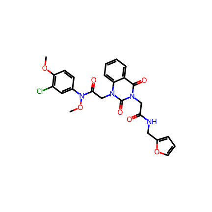 COc1ccc(N(OC)C(=O)Cn2c(=O)n(CC(=O)NCc3ccco3)c(=O)c3ccccc32)cc1Cl